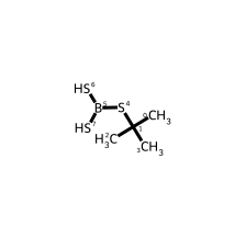 CC(C)(C)SB(S)S